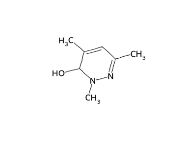 CC1=CC(C)=NN(C)C1O